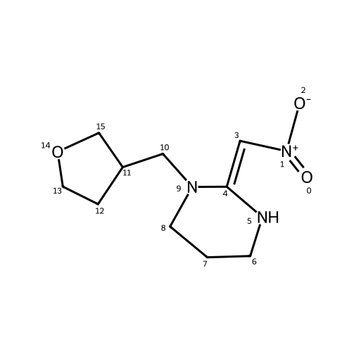 O=[N+]([O-])C=C1NCCCN1CC1CCOC1